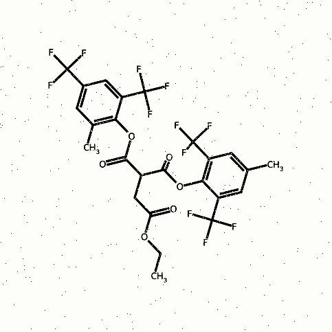 CCOC(=O)CC(C(=O)Oc1c(C)cc(C(F)(F)F)cc1C(F)(F)F)C(=O)Oc1c(C(F)(F)F)cc(C)cc1C(F)(F)F